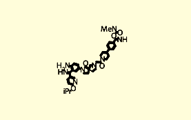 CNC(=O)OC(=N)c1ccc(C2=CCN(C(=O)CN3CC[C@]4(CCN(c5ccc(N)c(C(=N)c6ccc(OC(C)C)nc6)c5)C4=O)C3)CC2)cc1